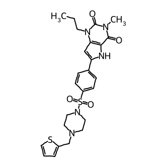 CCCn1c(=O)n(C)c(=O)c2[nH]c(-c3ccc(S(=O)(=O)N4CCN(Cc5cccs5)CC4)cc3)cc21